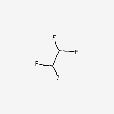 FC(F)C(F)I